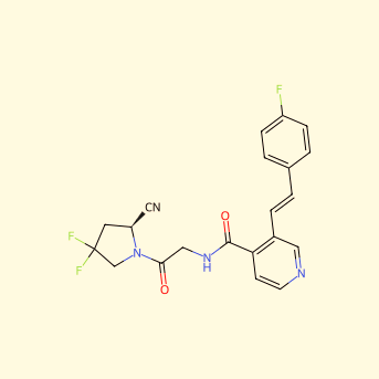 N#C[C@@H]1CC(F)(F)CN1C(=O)CNC(=O)c1ccncc1/C=C/c1ccc(F)cc1